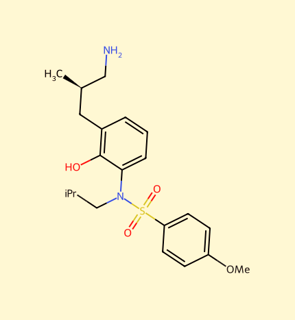 COc1ccc(S(=O)(=O)N(CC(C)C)c2cccc(C[C@@H](C)CN)c2O)cc1